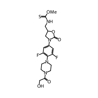 COC(=S)NCC1CN(c2cc(F)c(N3CCN(C(=O)CO)CC3)c(F)c2)C(=O)O1